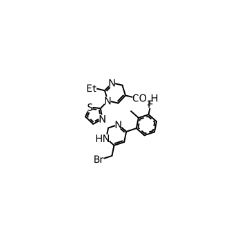 CCC1=NCC(C(=O)O)=CN1c1nccs1.Cc1c(F)cccc1C1=NCNC(CBr)=C1